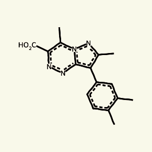 Cc1ccc(-c2c(C)nn3c(C)c(C(=O)O)nnc23)cc1C